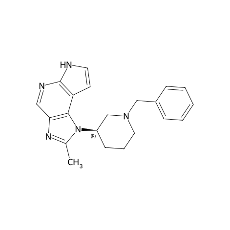 Cc1nc2cnc3[nH]ccc3c2n1[C@@H]1CCCN(Cc2ccccc2)C1